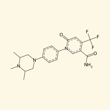 CC1CN(c2ccc(-n3cc(C(N)=O)c(C(F)(F)F)cc3=O)cc2)CC(C)N1C